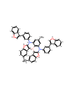 CC(C)(C)c1cc2c3c(c1)N(c1cccc(-c4coc5ccccc45)c1)c1oc4ccc(C(C)(C)C)cc4c1B3c1c(oc3ccc(C(C)(C)C)cc13)N2c1cccc(-c2coc3ccccc23)c1